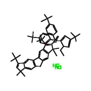 Cl.Cl.[CH2]=[Zr]([C]1=CC(C(C)(C)C)=CC1CC)([C]1=C(C(C)(C)C)c2cc3c(cc2C1(C)C)Cc1cc2c(cc1-3)C(C(C)(C)C)=CC2(C)C)([c]1ccc(C(C)(C)C)cc1)[c]1ccc(C(C)(C)C)cc1